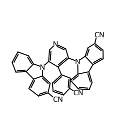 N#Cc1cccc(-c2c(-n3c4ccccc4c4ccc(C#N)cc43)cncc2-n2c3ccccc3c3ccc(C#N)cc32)c1